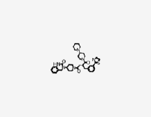 O=C(C[C@@H](Cc1cccc(-c2nccs2)c1)C(=O)N1CCC(N2CCCCC2)CC1)N1CCC(N2Cc3ccccc3NC2=O)CC1